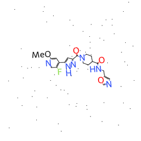 COc1cc(-c2cc(C(=O)N3CCC(C(=O)NCc4cnco4)CC3)n[nH]2)c(F)cn1